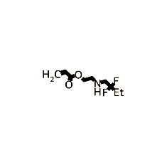 C=CC(=O)OCCNCC(F)(F)CC